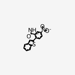 NC(=O)c1cc([N+](=O)[O-])ccc1-c1cc2ccccc2s1